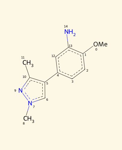 COc1ccc(-c2cn(C)nc2C)cc1N